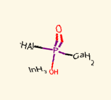 O=[P](O)([AlH])[GaH2].[InH3]